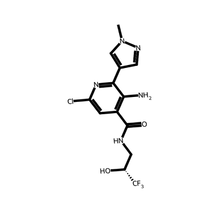 Cn1cc(-c2nc(Cl)cc(C(=O)NC[C@@H](O)C(F)(F)F)c2N)cn1